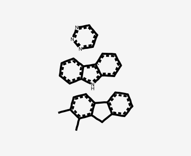 Cc1ccc2c(c1C)Cc1ccccc1-2.c1ccc2c(c1)[nH]c1ccccc12.c1cnnnc1